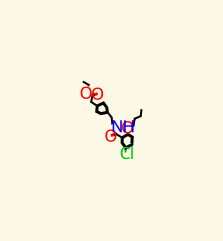 CCCCOc1ccc(Cl)cc1C(=O)NCCc1ccc(CC(=O)OCC)cc1